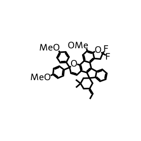 C/C=C1\CC(C)(C)CC2(C1)c1ccccc1-c1c2c2c(c3cc(OC)c4c(c13)CC(F)(F)O4)OC(c1ccc(OC)cc1)(c1ccc(OC)cc1)C=C2